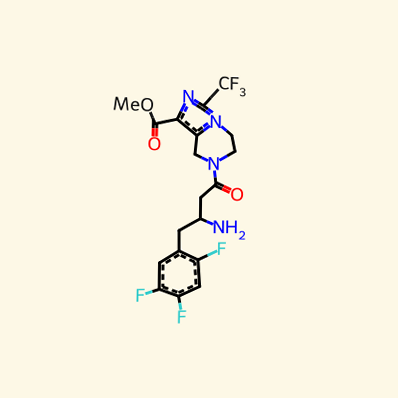 COC(=O)c1nc(C(F)(F)F)n2c1CN(C(=O)CC(N)Cc1cc(F)c(F)cc1F)CC2